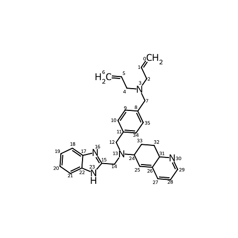 C=CCN(CC=C)Cc1ccc(CN(Cc2nc3ccccc3[nH]2)C2C=C3C=CC=NC3CC2)cc1